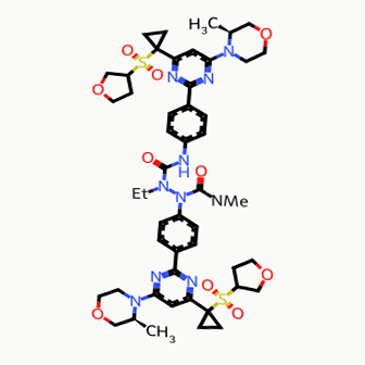 CCN(C(=O)Nc1ccc(-c2nc(N3CCOC[C@@H]3C)cc(C3(S(=O)(=O)C4CCOC4)CC3)n2)cc1)N(C(=O)NC)c1ccc(-c2nc(N3CCOC[C@@H]3C)cc(C3(S(=O)(=O)C4CCOC4)CC3)n2)cc1